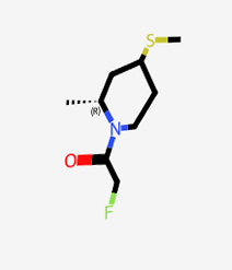 CSC1CCN(C(=O)CF)[C@H](C)C1